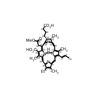 CCC1=C(C)/C2=C/c3c(/C=C/I)c(C)c4n3Nn3/c(c(C)c(C(=O)O)/c3=C(\CC(=O)OC)C3=N/C(=C\4)[C@@H](C)[C@@H]3CCCC(=O)O)=C\C1=N2